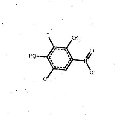 Cc1c([N+](=O)[O-])cc(Cl)c(O)c1F